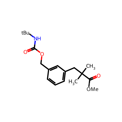 COC(=O)C(C)(C)Cc1cccc(COC(=O)NC(C)(C)C)c1